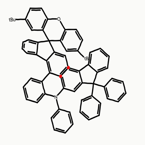 CC(C)(C)c1ccc2c(c1)C1(c3cc(C(C)(C)C)ccc3O2)c2ccccc2-c2c(-c3ccccc3N(c3ccccc3)c3ccc4c(c3)C(c3ccccc3)(c3ccccc3)c3ccccc3-4)cccc21